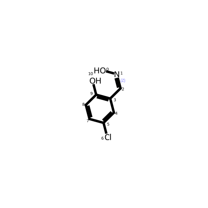 O/N=C\c1cc(Cl)ccc1O